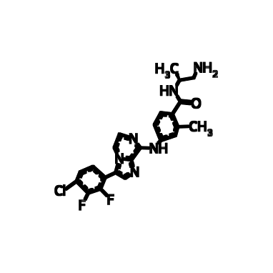 Cc1cc(Nc2nccn3c(-c4ccc(Cl)c(F)c4F)cnc23)ccc1C(=O)N[C@@H](C)CN